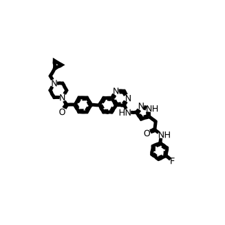 O=C(Cc1cc(Nc2ncnc3cc(-c4ccc(C(=O)N5CCN(CC6CC6)CC5)cc4)ccc23)n[nH]1)Nc1cccc(F)c1